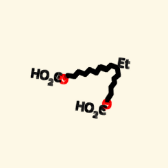 CCC(CC=CCCCCCCOC(=O)O)CCCCCCOC(=O)O